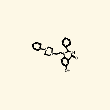 O=C1NC(c2ccccc2)N(CCN2CCN(c3ccccc3)CC2)c2ccc(O)cc21